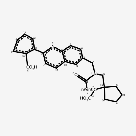 CCCCCC(=O)N(Cc1ccc2nc(-c3ccccc3C(=O)O)ccc2c1)CC1(OC(=O)O)CCCC1